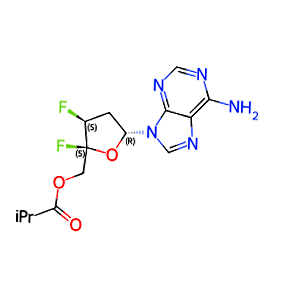 CC(C)C(=O)OC[C@@]1(F)O[C@@H](n2cnc3c(N)ncnc32)C[C@@H]1F